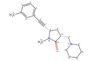 Cc1cccc(C#C[C@@H]2C[C@H](CN3CCCCC3)C(=O)N2C)c1